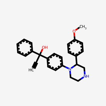 C#CC(O)(c1ccccc1)c1ccc(N2CCNCC2c2ccc(OC)cc2)cc1